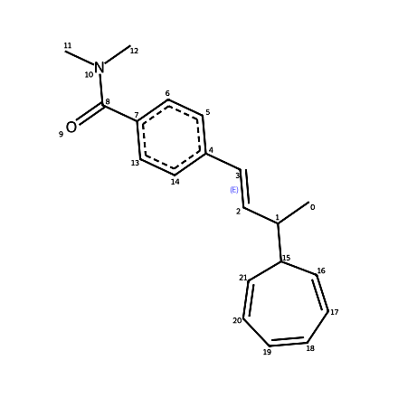 CC(/C=C/c1ccc(C(=O)N(C)C)cc1)C1C=CC=CC=C1